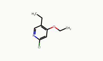 CCOc1cc(Cl)ncc1CC